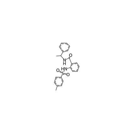 Cc1ccc(S(=O)(=O)Nc2ccccc2C(=O)NC(C)c2ccccc2)cc1